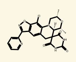 C[C@H]1CN2c3c(cc4c(-c5ccccn5)noc4c3Cl)CC3(C(=O)NC(=O)NC3=O)[C@@H]2[C@@H](C)O1